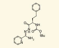 CC(C)(C)OC(=O)N[C@H](CCc1ccccc1)C(=O)N/N=C(\N)c1ccccn1